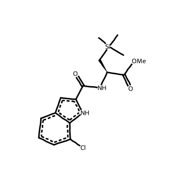 COC(=O)[C@H](C[Si](C)(C)C)NC(=O)c1cc2cccc(Cl)c2[nH]1